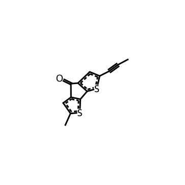 CC#Cc1cc2c(s1)-c1sc(C)cc1C2=O